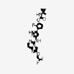 CC1(NC(=O)O[C@H]2CC[C@@H](c3cc(Nc4nccc5nc(OCC(F)F)cn45)n[nH]3)[C@H]2F)CC1